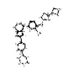 N#Cc1nc(-c2ccnc3[nH]c(-c4ccc(N5CCOCC5)cc4)cc23)ccc1O[C@@H]1CCN(C2COC2)C1